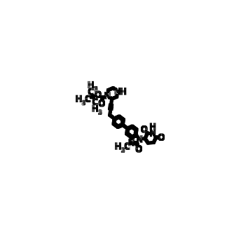 Cn1c(=O)n(C2CCC(=O)NC2=O)c2ccc(-c3ccc(CC#CC4CNCCN4C(=O)OC(C)(C)C)cc3)cc21